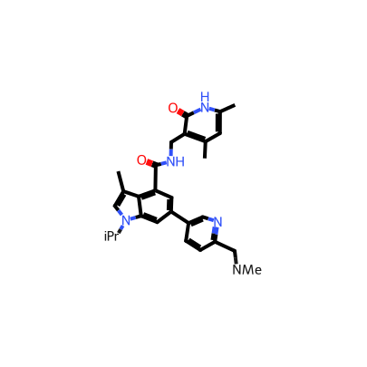 CNCc1ccc(-c2cc(C(=O)NCc3c(C)cc(C)[nH]c3=O)c3c(C)cn(C(C)C)c3c2)cn1